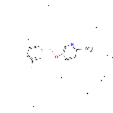 O=C(O)c1ccc(OCc2ccc(F)c(F)c2)cn1